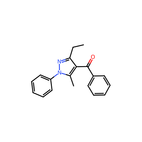 CCc1nn(-c2ccccc2)c(C)c1C(=O)c1ccccc1